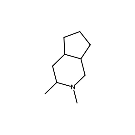 CC1CC2CCCC2CN1C